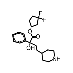 O=C(O[C@@H]1CCC(F)(F)C1)[C@@](O)(CCC1CCNCC1)c1ccccc1